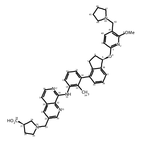 COc1nc(O[C@@H]2CCc3c(-c4cccc(Nc5nccc6cc(CN7CC[C@@H](C(=O)O)C7)cnc56)c4C)cccc32)ccc1CN1CCCC1